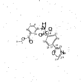 CCOC(=O)c1cccc(NS(=O)(=O)c2ccc(-c3cnc(C)o3)cc2)c1